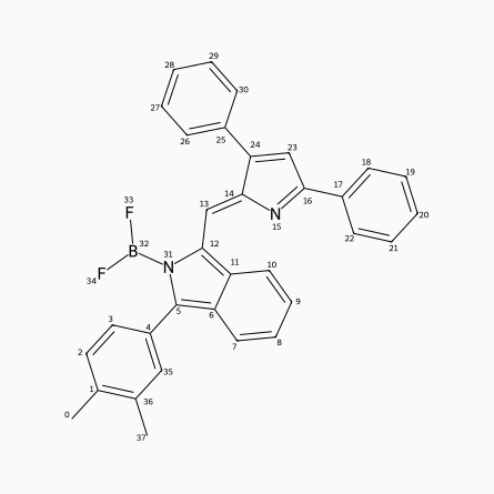 Cc1ccc(-c2c3ccccc3c(/C=C3\N=C(c4ccccc4)C=C3c3ccccc3)n2B(F)F)cc1C